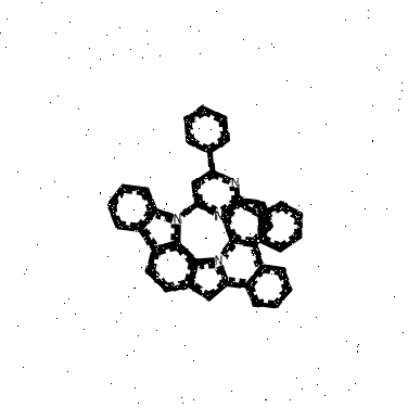 c1ccc(-c2cc(-n3c4ccccc4c4ccc5cc6c7ccccc7c7ccccc7n6c5c43)nc(-c3ccccc3)n2)cc1